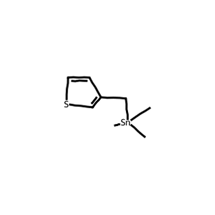 [CH3][Sn]([CH3])([CH3])[CH2]c1ccsc1